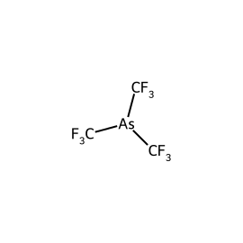 FC(F)(F)[As](C(F)(F)F)C(F)(F)F